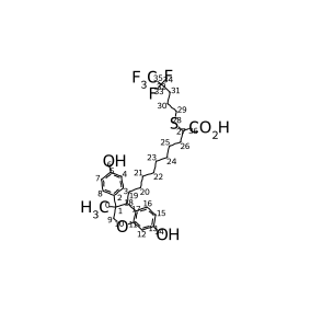 CC1(c2ccc(O)cc2)COc2cc(O)ccc2C1CCCCCCCCC(SCCCC(F)(F)C(F)(F)F)C(=O)O